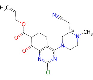 C=CCOC(=O)C1CCc2c(nc(Cl)nc2N2CCN(C)[C@@H](CC#N)C2)C1=O